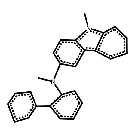 CN(c1ccc2c(c1)c1ccccc1n2C)c1ccccc1-c1ccccc1